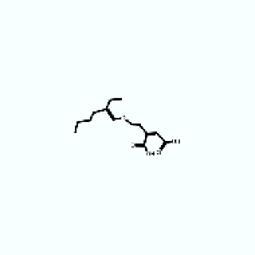 CCCCC(=COCCC(=CC(=O)O)C(=O)O)CC